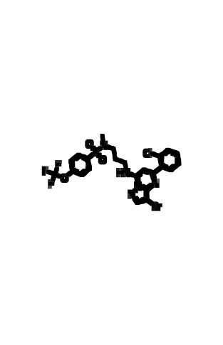 CN(CCCNc1cc(-c2ccccc2Cl)nc2c(Br)cnn12)S(=O)(=O)c1ccc(OC(F)(F)F)cc1